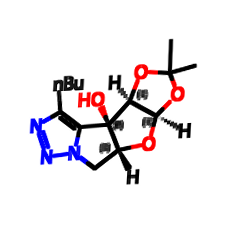 CCCCc1nnn2c1[C@@]1(O)[C@@H](C2)O[C@@H]2OC(C)(C)O[C@@H]21